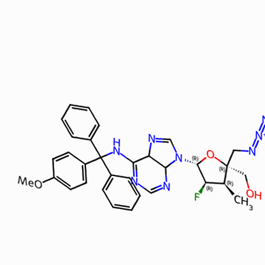 COc1ccc(C(NC2=NC=NC3C2N=CN3[C@@H]2O[C@@](CO)(CN=[N+]=[N-])[C@@H](C)[C@H]2F)(c2ccccc2)c2ccccc2)cc1